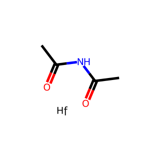 CC(=O)NC(C)=O.[Hf]